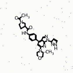 CC(=O)N1CCC(C(=O)Nc2ccc(-c3cc(N4CCOC[C@H]4C)nc4c3cnn4-c3cc[nH]n3)cc2)C1